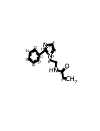 C=CC(=O)NCCn1ccnc1-c1ccccc1